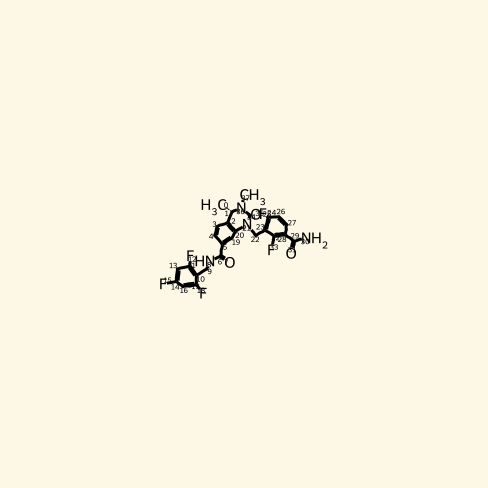 C[C@H]1c2ccc(C(=O)NCc3c(F)cc(F)cc3F)cc2N(Cc2c(F)ccc(C(N)=O)c2F)C(=O)N1C